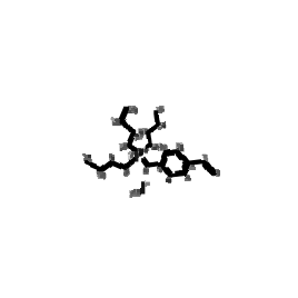 C=Cc1ccc(C[P+](CCCC)(CCCC)CCCC)cc1.[I-]